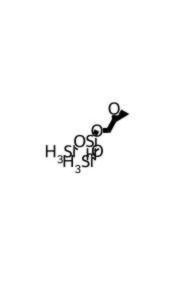 [SiH3]O[SiH](O[SiH3])OCC1CO1